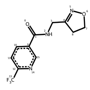 O=C(NCC1=NOCC1)c1ccc(C(F)(F)F)nc1